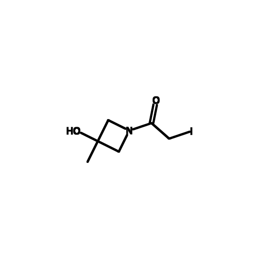 CC1(O)CN(C(=O)CI)C1